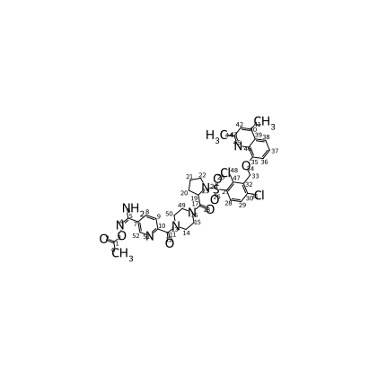 CC(=O)O/N=C(/N)c1ccc(C(=O)N2CCN(C(=O)C3CCCN3S(=O)(=O)c3ccc(Cl)c(COc4cccc5c(C)cc(C)nc45)c3Cl)CC2)nc1